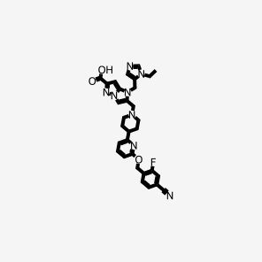 CCn1cncc1Cn1c(CN2CCC(c3cccc(OCc4ccc(C#N)cc4F)n3)CC2)cn2nc(C(=O)O)cc12